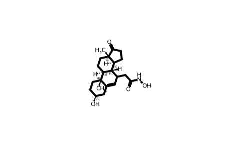 C[C@]12CC[C@H](O)CC1=CC(CC(=O)NO)[C@@H]1[C@@H]2CC[C@]2(C)C(=O)CC[C@@H]12